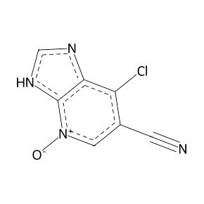 N#Cc1c[n+]([O-])c2[nH]cnc2c1Cl